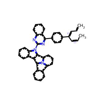 C=C/C=C(\C=C/C)c1ccc(-c2nc(-n3c4ccccc4c4c3c3cccc5c6ccccc6c4n53)nc3ccccc23)cc1